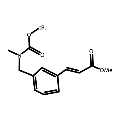 COC(=O)/C=C/c1cccc(CN(C)C(=O)OC(C)(C)C)c1